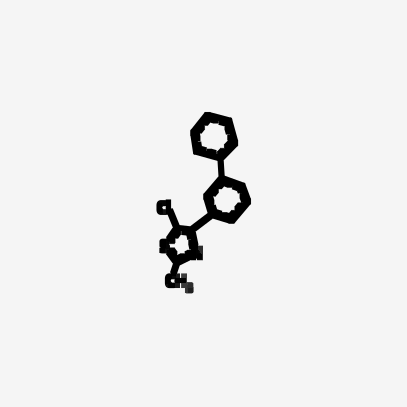 Cc1nc(-c2cccc(-c3ccccc3)c2)c(Cl)s1